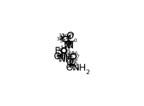 Cc1nn(-c2cc(F)c(C(N)=O)c(NC3CCCCC3OC(=O)CN)c2)c2c1C(=O)CC(C)(C)C2